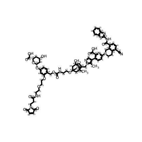 Cc1c(-c2ccc(N3CCc4c(C#N)ccc(C(=O)Nc5nc6ccccc6s5)c4C3)nc2C(=O)O)cnn1CC12CC3(C)CC(OCCNC(=O)OCc4ccc(O[C@H]5C[C@@H](O)C[C@@H](C(=O)O)O5)cc4OCCOCCNC(=O)CCN4C(=O)C=CC4=O)(CC1(C)C3)C2